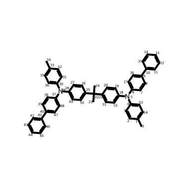 Cc1ccc(N(c2ccc(-c3ccccc3)cc2)c2ccc(C(C)(C)c3ccc(N(c4ccc(C)cc4)c4ccc(-c5ccccc5)cc4)cc3)cc2)cc1